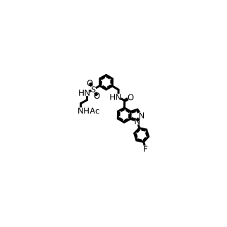 CC(=O)NCCNS(=O)(=O)c1cccc(CNC(=O)c2cccc3c2cnn3-c2ccc(F)cc2)c1